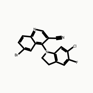 N#Cc1cnc2ccc(Br)cc2c1N1CCc2cc(F)c(Cl)cc21